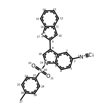 [C-]#[N+]c1ccc2c(c1)c(-c1cc3ccccc3s1)cn2S(=O)(=O)c1ccc(C)cc1